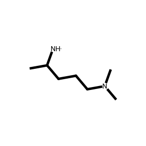 CC([NH])CCCN(C)C